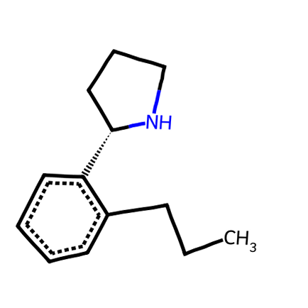 CCCc1ccccc1[C@@H]1CCCN1